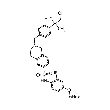 CCCCCCOc1ccc(NS(=O)(=O)c2ccc3c(c2)CCN(Cc2ccc(C(C)(C)CO)cc2)C3)c(F)c1